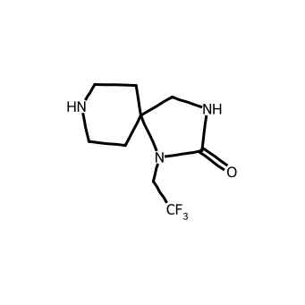 O=C1NCC2(CCNCC2)N1CC(F)(F)F